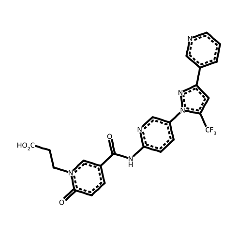 O=C(O)CCn1cc(C(=O)Nc2ccc(-n3nc(-c4cccnc4)cc3C(F)(F)F)cn2)ccc1=O